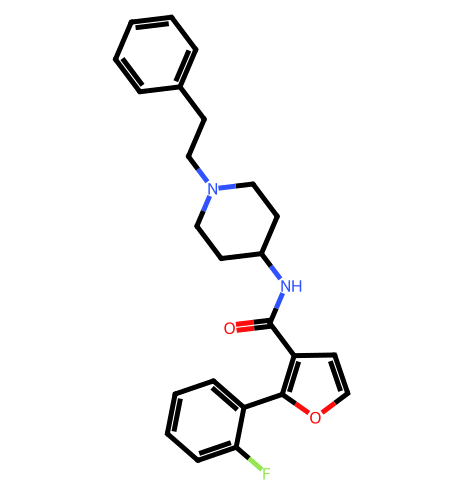 O=C(NC1CCN(CCc2ccccc2)CC1)c1ccoc1-c1ccccc1F